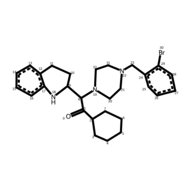 O=C(C1CCCCC1)C(C1CCc2ccccc2N1)N1CCN(Cc2ccccc2Br)CC1